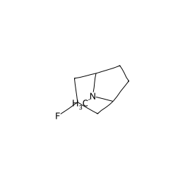 CN1C2CCC1CC(F)C2